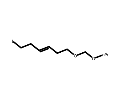 CCCOCOCCC=CCCI